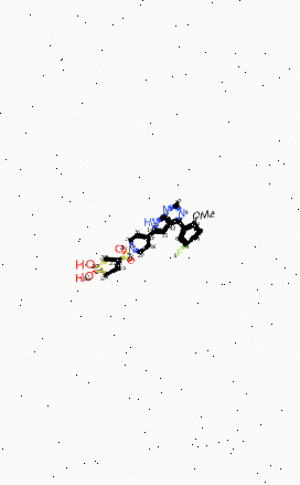 COc1ccc(F)cc1-c1ncnc2[nH]c(C3=CCN(S(=O)(=O)C4CCS(O)(O)C4)CC3)cc12